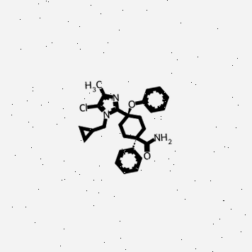 Cc1nc([C@]2(Oc3ccccc3)CC[C@](C(N)=O)(c3ccccc3)CC2)n(CC2CC2)c1Cl